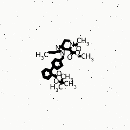 CCCc1nc2c(n1Cc1ccc(-c3ccccc3C(=O)OC(C)(C)C)cc1)C(C(=O)OCC)N(C(C)=O)CC2